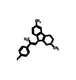 CC(=Cn1c2c(c3cc(C)ccc31)CCN(C)C2)c1ccc(F)cc1